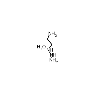 NCCNNN.O